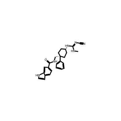 CN/C(=N\C#N)N[C@H]1CC[C@](CNC(=O)c2ccc3cc[nH]c3c2)(c2ccccc2)CC1